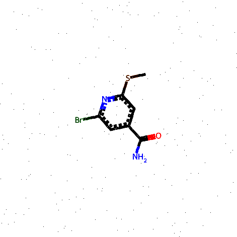 CSc1cc(C(N)=O)cc(Br)n1